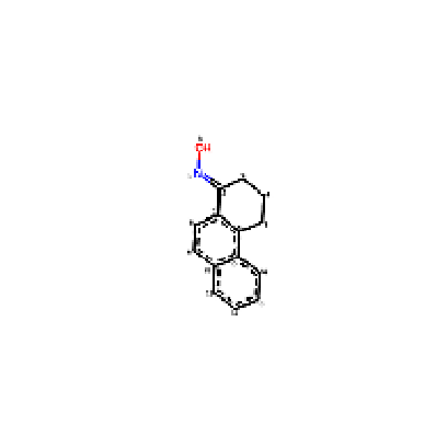 O/N=C1\CCCc2c1ccc1ccccc21